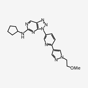 COCCn1cc(-c2ccc(-n3nnc4cnc(NC5CCCC5)nc43)cn2)cn1